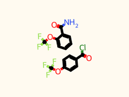 NC(=O)c1ccccc1OC(F)(F)F.O=C(Cl)c1ccc(OC(F)(F)F)cc1